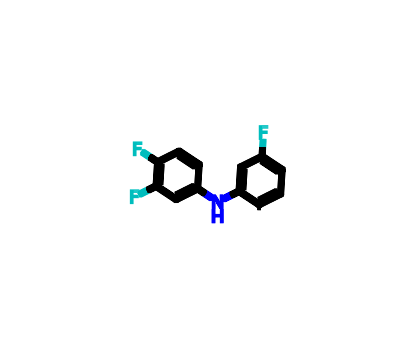 Fc1cc[c]c(Nc2ccc(F)c(F)c2)c1